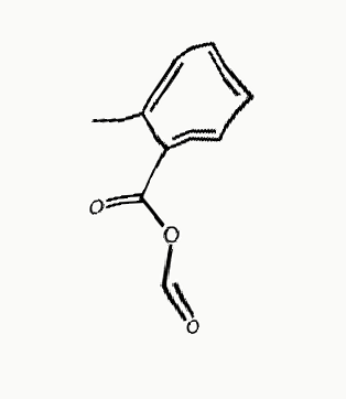 Cc1ccccc1C(=O)OC=O